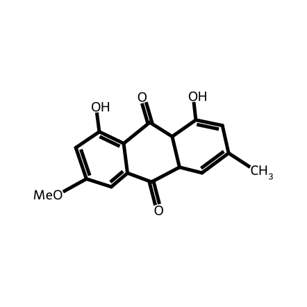 COc1cc(O)c2c(c1)C(=O)C1C=C(C)C=C(O)C1C2=O